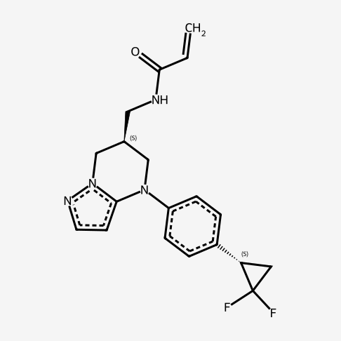 C=CC(=O)NC[C@H]1CN(c2ccc([C@@H]3CC3(F)F)cc2)c2ccnn2C1